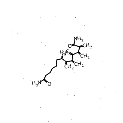 C=C(CCCCCC(N)=O)C(=C)C(=C)C(=C)C(=C)C(=C)C(N)=O